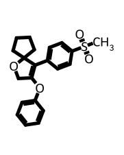 CS(=O)(=O)c1ccc(C2=C(Oc3ccccc3)COC23CCCC3)cc1